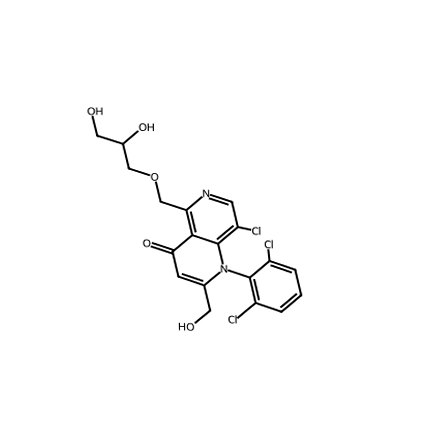 O=c1cc(CO)n(-c2c(Cl)cccc2Cl)c2c(Cl)cnc(COCC(O)CO)c12